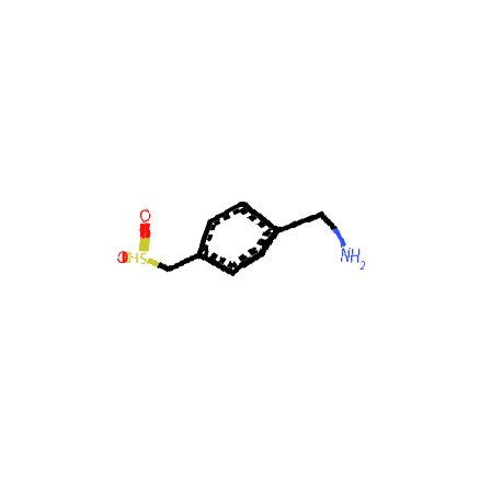 NCc1ccc(C[SH](=O)=O)cc1